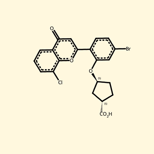 O=C(O)[C@H]1CC[C@H](Oc2cc(Br)ccc2-c2cc(=O)c3cccc(Cl)c3o2)C1